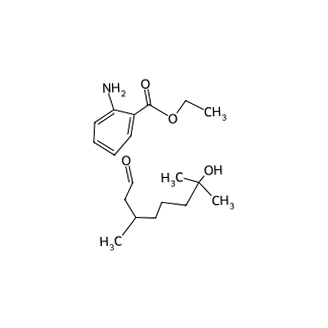 CC(CC=O)CCCC(C)(C)O.CCOC(=O)c1ccccc1N